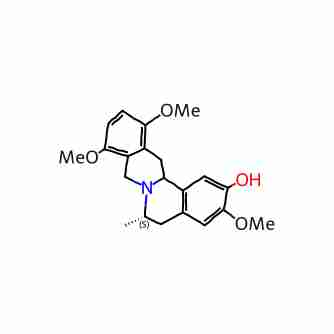 COc1cc2c(cc1O)C1Cc3c(OC)ccc(OC)c3CN1[C@@H](C)C2